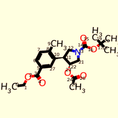 CCOC(=O)c1ccc(C)c([C@H]2CN(C(=O)OC(C)(C)C)C[C@@H]2OC(C)=O)c1